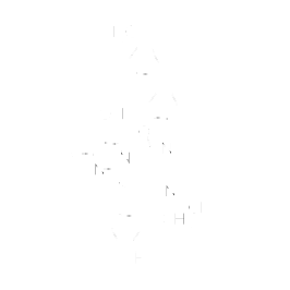 CCN(CC)CCN(Cc1ccc(-c2ccc(C)cc2)cc1)C(=O)Cn1cc(CO)c(=O)nc1SCc1ccc(F)cc1